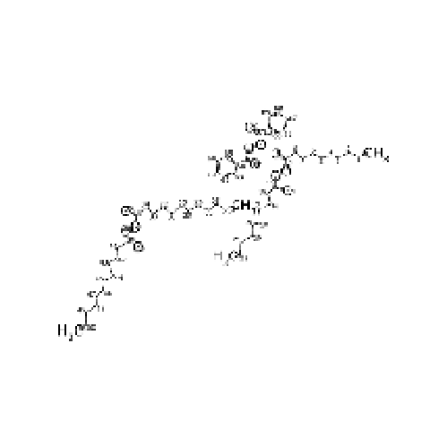 CCCCCCCCCC(=O)OOC(=O)CCCCCCCCC.CCCCCCCCCCCC(=O)OOC(=O)CCCCCCCCCCC.O=C(OOC(=O)c1ccccc1)c1ccccc1